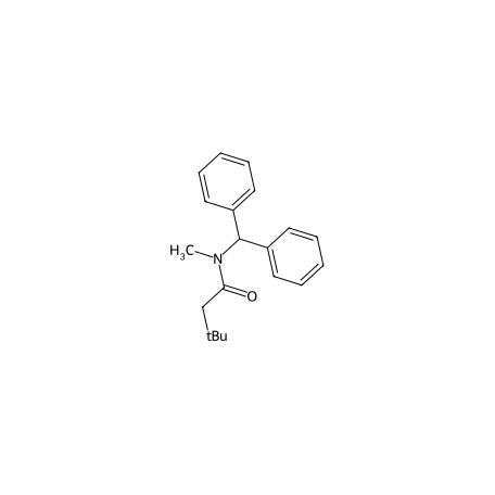 CN(C(=O)CC(C)(C)C)C(c1ccccc1)c1ccccc1